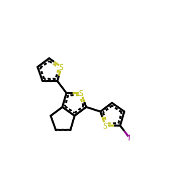 Ic1ccc(-c2sc(-c3cccs3)c3c2CCC3)s1